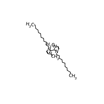 CCCCCCCCCCCCN1C=CN(C)C1C1N(C)C=CN1CCCCCCCCCCC